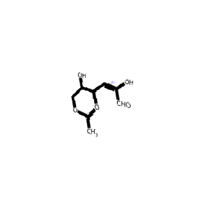 CC1OCC(O)C(/C=C(/O)C=O)O1